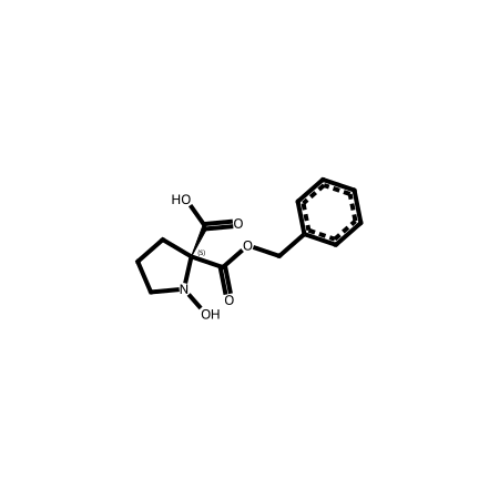 O=C(O)[C@]1(C(=O)OCc2ccccc2)CCCN1O